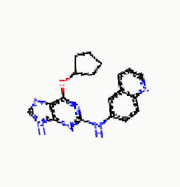 c1cnc2ccc(Nc3nc(OC4CCCC4)c4nc[nH]c4n3)cc2c1